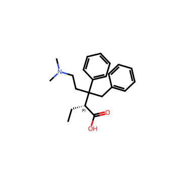 CC[C@@H](C(=O)O)C(CCN(C)C)(Cc1ccccc1)c1ccccc1